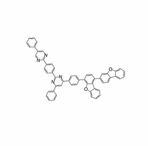 c1ccc(-c2cnc(-c3ccc(-c4nc(-c5ccccc5)cc(-c5ccc(-c6ccc(-c7ccc8c(c7)oc7ccccc78)c7c6oc6ccccc67)cc5)n4)cc3)nc2)cc1